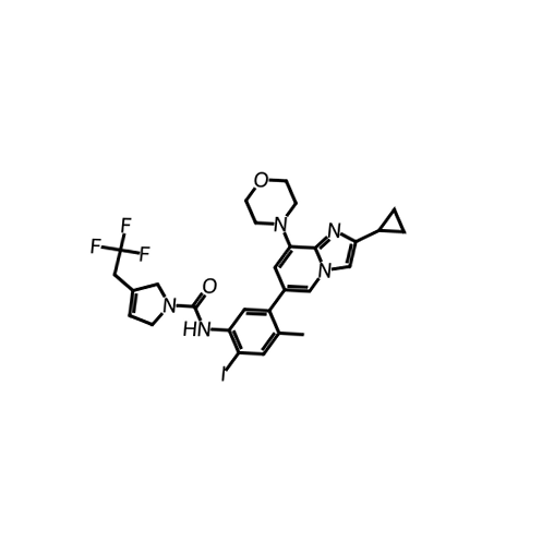 Cc1cc(I)c(NC(=O)N2CC=C(CC(F)(F)F)C2)cc1-c1cc(N2CCOCC2)c2nc(C3CC3)cn2c1